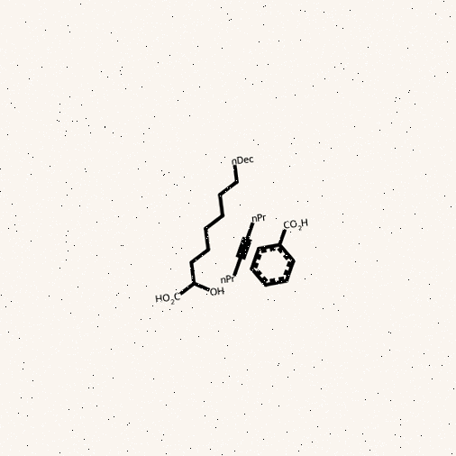 CCCC#CCCC.CCCCCCCCCCCCCCCCC(O)C(=O)O.O=C(O)c1ccccc1